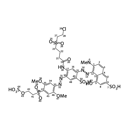 CNc1ccc2cc(S(=O)(=O)O)cc(O)c2c1/N=N/c1cc(NC(=O)CCCS(=O)(=O)CCCl)c(/N=N/c2cc(OC)c(S(=O)(=O)CCOS(=O)(=O)O)cc2OC)cc1S(=O)(=O)O